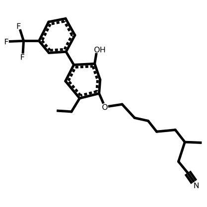 CCc1cc(-c2cccc(C(F)(F)F)c2)c(O)cc1OCCCCCC(C)CC#N